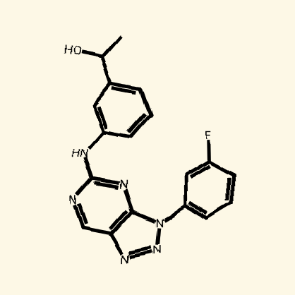 CC(O)c1cccc(Nc2ncc3nnn(-c4cccc(F)c4)c3n2)c1